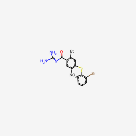 CCc1cc(Sc2ccccc2Br)c([N+](=O)[O-])cc1C(=O)N=C(N)N